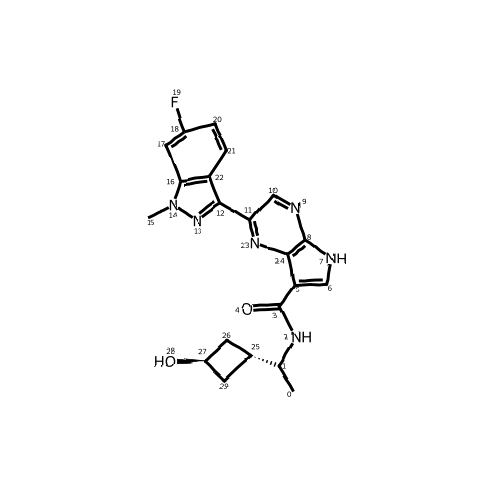 CC(NC(=O)c1c[nH]c2ncc(-c3nn(C)c4cc(F)ccc34)nc12)[C@H]1C[C@H](O)C1